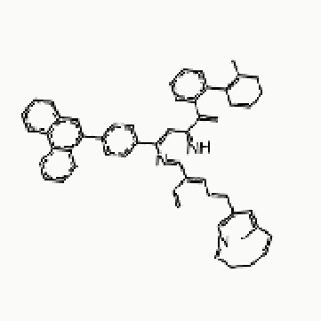 C=CC(/C=N/C(=C\C(=N)C(=C)c1ccccc1C1=C(C)CCC=C1)c1ccc(-c2cc3ccccc3c3ccccc23)cc1)=C\C=C\C1=C/N=C/CC/C=C\C(C)=C\1